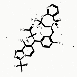 Cc1ccc([C@@H](c2ccn3c(C(F)(F)F)nnc3c2C)C(C)(C)C(=O)O)cc1CN1CC(C)(C)Oc2ncccc2S1(=O)=O